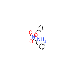 NC(Cc1ccccc1)C(=O)N(C=O)OCc1ccccc1